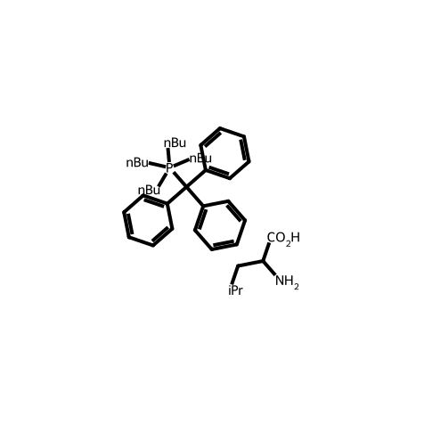 CC(C)CC(N)C(=O)O.CCCCP(CCCC)(CCCC)(CCCC)C(c1ccccc1)(c1ccccc1)c1ccccc1